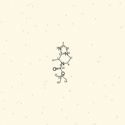 CC1c2nccn2CCN1C(=O)OC(C)(C)C